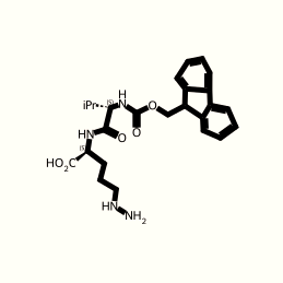 CC(C)[C@H](NC(=O)OCC1c2ccccc2-c2ccccc21)C(=O)N[C@@H](CCCNN)C(=O)O